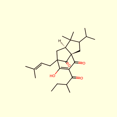 CCC(C)C(=O)C1=C(O)C2(CC=C(C)C)C[C@H]3C(C)(C)C(C(C)C)C[C@@]3(C1=O)C2=O